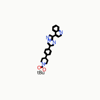 CC(C)(C)OC(=O)N1CCC(c2ccc(-c3cnc4c(-c5ccnc6ccccc56)cnn4c3)cc2)CC1